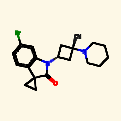 N#C[C@]1(N2CCCCC2)C[C@@H](N2C(=O)C3(CC3)c3ccc(Br)cc32)C1